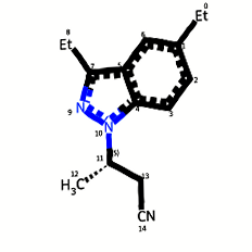 CCc1ccc2c(c1)c(CC)nn2[C@@H](C)CC#N